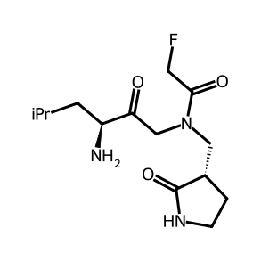 CC(C)C[C@H](N)C(=O)CN(C[C@@H]1CCNC1=O)C(=O)CF